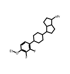 CCCC1CCC2C(C3CCC(c4ccc(OCC)c(F)c4F)CC3)CCC12